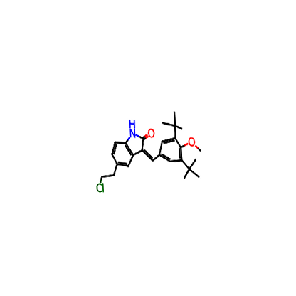 COc1c(C(C)(C)C)cc(C=C2C(=O)Nc3ccc(CCCl)cc32)cc1C(C)(C)C